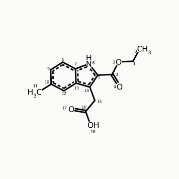 CCOC(=O)c1[nH]c2ccc(C)cc2c1CC(=O)O